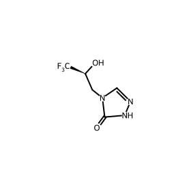 O=c1[nH]ncn1C[C@H](O)C(F)(F)F